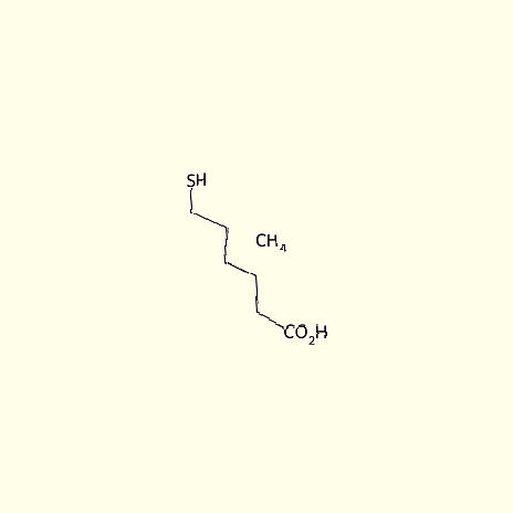 C.O=C(O)CCCCCS